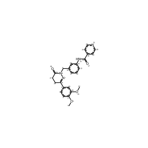 COc1ccc(C2=NN(Cc3cccc(NC(=O)c4ccncc4)c3)C(=O)CC2)cc1OC